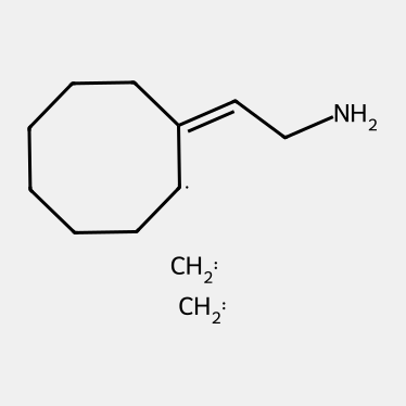 NCC=C1[CH]CCCCCC1.[CH2].[CH2]